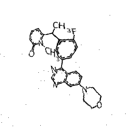 CC(c1cc(-c2ncnc3cc(N4CCOCC4)ccc23)ccc1F)c1cccc(=O)n1C